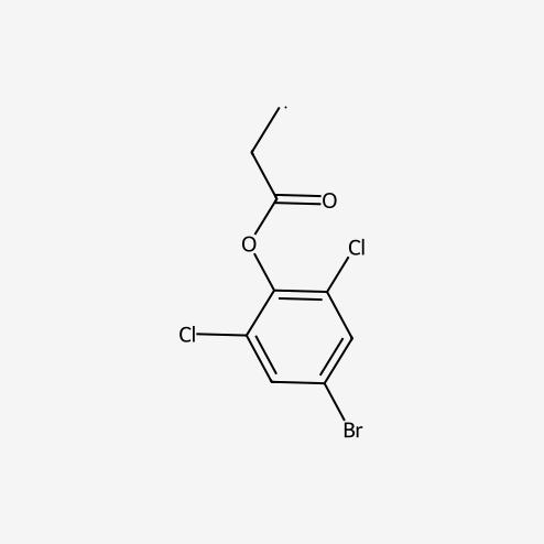 [CH2]CC(=O)Oc1c(Cl)cc(Br)cc1Cl